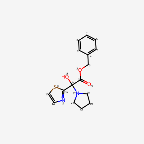 O=C(OCc1ccccc1)C(O)(c1nccs1)N1CCCC1